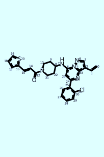 C=Cc1cnn2c(NC3CCN(C(=O)/C=C/c4cccs4)CC3)cc(-c3ccccc3Cl)nc12